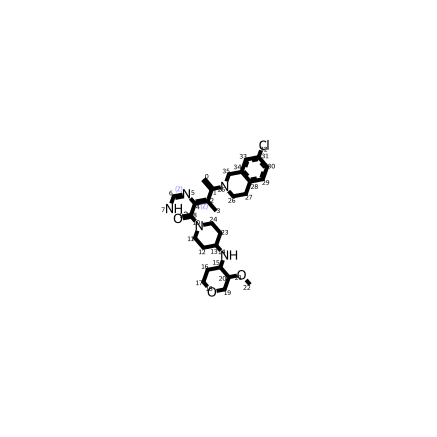 C=C(/C(C)=C(\N=C/N)C(=O)N1CCC(NC2CCOCC2OC)CC1)N1CCc2ccc(Cl)cc2C1